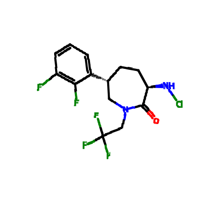 O=C1[C@H](NCl)CC[C@@H](c2cccc(F)c2F)CN1CC(F)(F)F